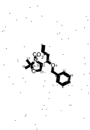 C=CCC(OCc1ccccc1)[C@@H]1COC(C)(C)N1C(=O)O